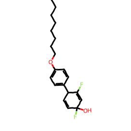 CCCCCCCCOc1ccc(C2C=CC(O)(F)C=C2F)cc1